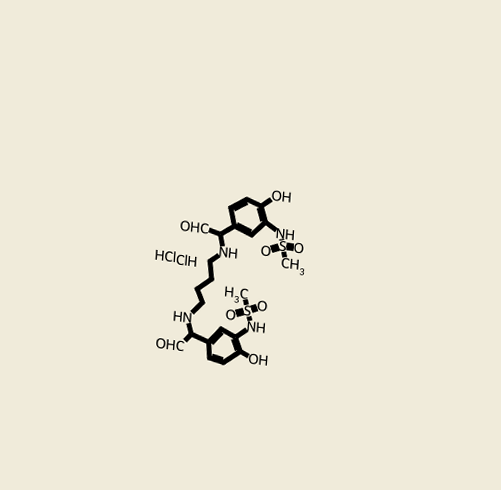 CS(=O)(=O)Nc1cc(C(C=O)NCCCCNC(C=O)c2ccc(O)c(NS(C)(=O)=O)c2)ccc1O.Cl.Cl